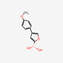 COc1ccc(-c2coc(B(O)O)c2)cc1